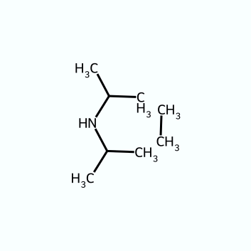 CC.CC(C)NC(C)C